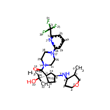 CC1COCCC1N[C@H]1CC[C@](C(=O)N2CCN(c3cccc(C(F)(F)F)n3)CC2)(C(C)(C)O)C1